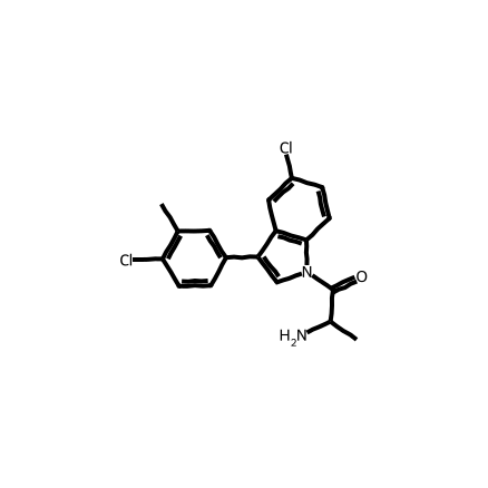 Cc1cc(-c2cn(C(=O)C(C)N)c3ccc(Cl)cc23)ccc1Cl